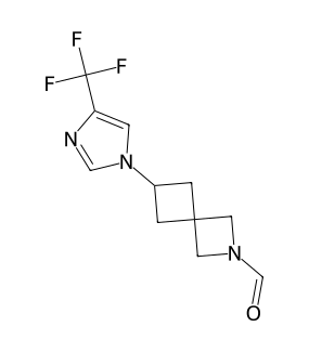 O=CN1CC2(CC(n3cnc(C(F)(F)F)c3)C2)C1